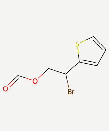 O=COCC(Br)c1cccs1